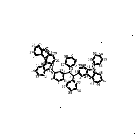 c1ccc(C(c2cccc(-n3c4ccccc4c4c5c(ccc43)sc3ccccc35)c2)C(c2ccccc2)c2ccc3c(c2)c2ccccc2n3-c2ccccc2)cc1